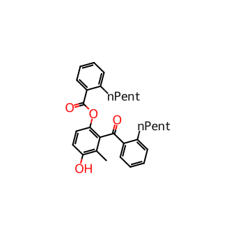 CCCCCc1ccccc1C(=O)Oc1ccc(O)c(C)c1C(=O)c1ccccc1CCCCC